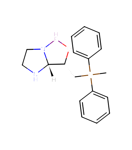 CS(C[C@H]1OPN2CCN[C@@H]12)(c1ccccc1)c1ccccc1